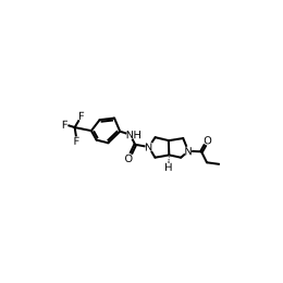 CCC(=O)N1CC2CN(C(=O)Nc3ccc(C(F)(F)F)cc3)C[C@@H]2C1